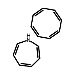 C1=CC=CC=CC=C1.C1=CC=CNC=C1